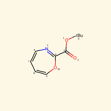 CC(C)(C)OC(=O)C1=NC=CC=CO1